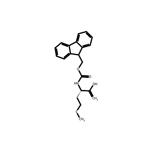 C=C(O)[C@H](CCSC)NC(=O)OCC1c2ccccc2-c2ccccc21